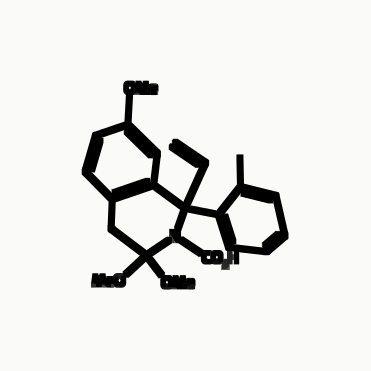 C=CC1(c2ccccc2C)c2cc(OC)ccc2CC(OC)(OC)N1C(=O)O